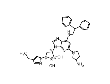 CCc1cnn([C@H]2C[C@@H](n3cnc4c(NCC(c5ccccc5)c5ccccc5)nc(N5CCC(N)C5)nc43)[C@H](O)[C@@H]2O)c1